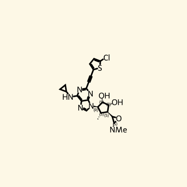 CN[C@H]1OC1[C@H]1[C@H](C)[C@@H](n2cnc3c(NC4CC4)nc(C#Cc4ccc(Cl)s4)nc32)[C@H](O)[C@@H]1O